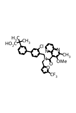 COc1c(C)nc2cccnc2c1C(=O)N(Cc1ccc(C(F)(F)F)o1)Cc1ccc(-c2cccc(C(C)(C)C(=O)O)c2)cc1Cl